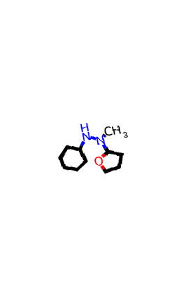 CN(NC1CCCCC1)C1CCCO1